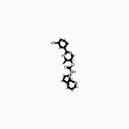 Cc1nc(-c2cccc(F)c2)ncc1OC(=O)Nn1ccc2cccnc21